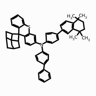 CC1(C)CCC(C)(C)c2cc(-c3ccc(N(c4ccc(-c5ccccc5)cc4)c4ccc5c(c4)Sc4ccccc4C54C5CC6CC7CC4C75C6)cc3)ccc21